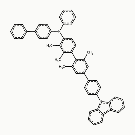 Cc1cc(-c2ccc(-n3c4ccccc4c4ccccc43)cc2)cc(C)c1-c1ccc(N(c2ccccc2)c2ccc(-c3ccccc3)cc2)c(C)c1C